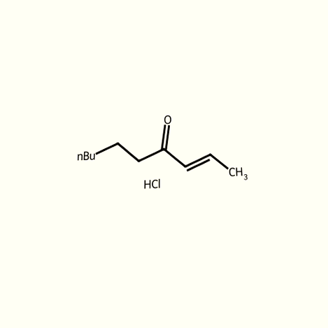 CC=CC(=O)CCCCCC.Cl